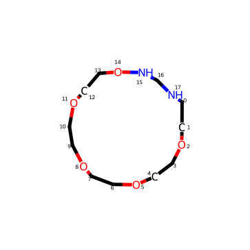 C1COCCOCCOCCOCCONCN1